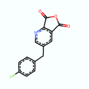 O=C1OC(=O)c2ncc(Cc3ccc(F)cc3)cc21